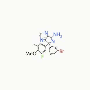 COc1c(C)cc(C2(c3cccc(Br)c3)N=C(N)c3nccnc32)cc1F